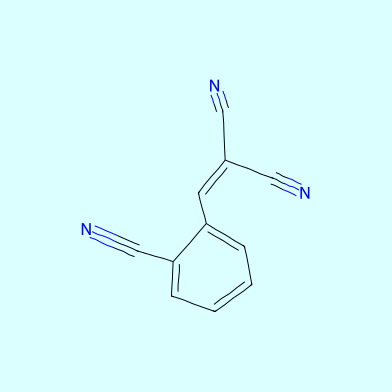 N#CC(C#N)=Cc1ccccc1C#N